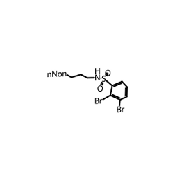 CCCCCCCCCCCCNS(=O)(=O)c1cccc(Br)c1Br